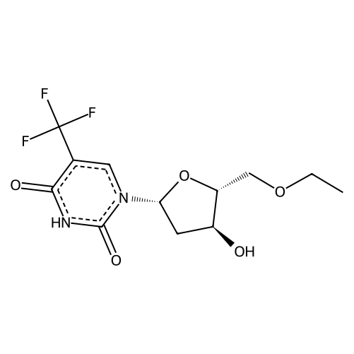 CCOC[C@H]1O[C@@H](n2cc(C(F)(F)F)c(=O)[nH]c2=O)C[C@@H]1O